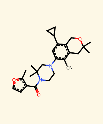 Cc1occc1C(=O)N1CCN(c2cc(C3CC3)c3c(c2C#N)CC(C)(C)OC3)CC1(C)C